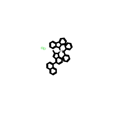 CC1=Cc2c(-c3cccc4ccccc34)cccc2[CH]1[Zr+2](=[C](c1ccccc1)c1ccccc1)[CH]1c2ccccc2-c2ccccc21.[Cl-].[Cl-]